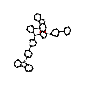 c1ccc(-c2ccc(-c3ccc(N(c4ccc(-c5ccc(-n6c7ccccc7c7ccccc76)cc5)cc4)c4ccccc4-c4cccc5oc6ccccc6c45)cc3)cc2)cc1